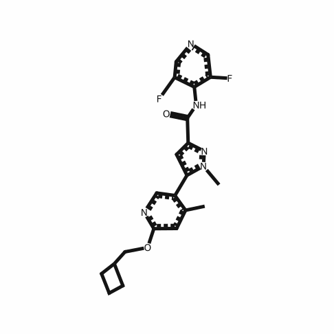 Cc1cc(OCC2CCC2)ncc1-c1cc(C(=O)Nc2c(F)cncc2F)nn1C